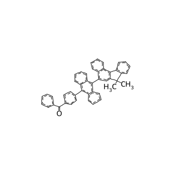 CC1(C)c2ccccc2-c2c1cc(-c1c3ccccc3c(-c3ccc(C(=O)c4ccccc4)cc3)c3ccccc13)c1ccccc21